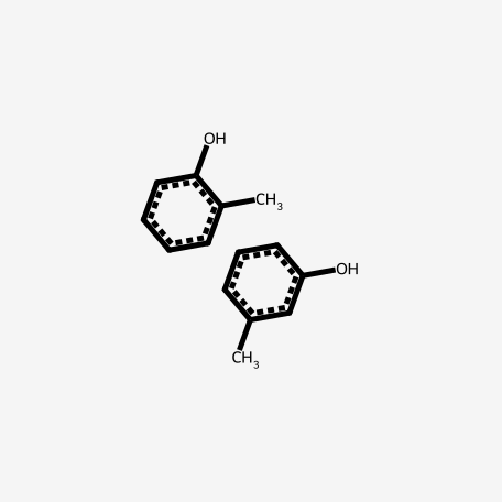 Cc1cccc(O)c1.Cc1ccccc1O